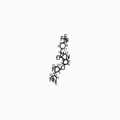 Cn1cc(-c2cc(Oc3ccc4ncn(CC5CCC(C(F)(F)F)CC5)c(=O)c4c3)ccn2)cn1